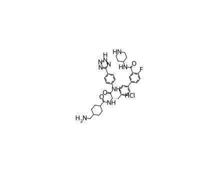 Cl.NCC1CCC(C(=O)N[C@@H](Cc2ccc(-c3ccc(F)c(C(=O)NC4CCNCC4)c3)cc2)C(=O)Nc2ccc(-c3nn[nH]n3)cc2)CC1